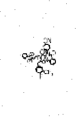 C[C@H](c1nc2ccccc2c(=O)n1-c1ccc(C#N)cc1)N(CCS(=O)(=O)C1CCCC1)C(=O)Cc1ccc(F)c(C(F)(F)F)c1